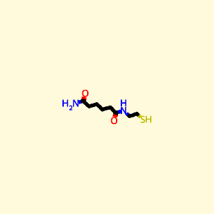 NC(=O)CCCCC(=O)NCCS